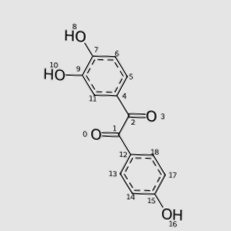 O=C(C(=O)c1ccc(O)c(O)c1)c1ccc(O)cc1